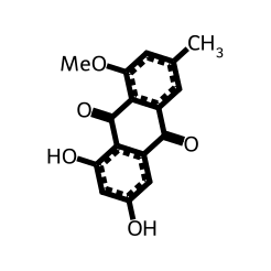 COc1cc(C)cc2c1C(=O)c1c(O)cc(O)cc1C2=O